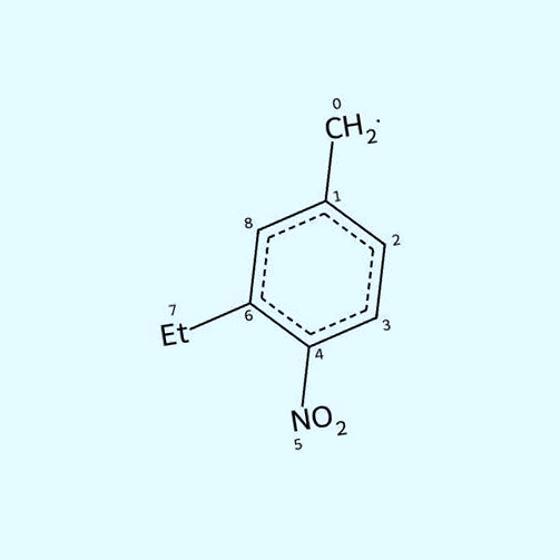 [CH2]c1ccc([N+](=O)[O-])c(CC)c1